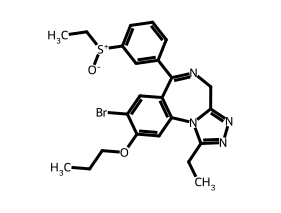 CCCOc1cc2c(cc1Br)C(c1cccc([S+]([O-])CC)c1)=NCc1nnc(CC)n1-2